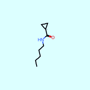 CCCCCNC(=O)[C]1CC1